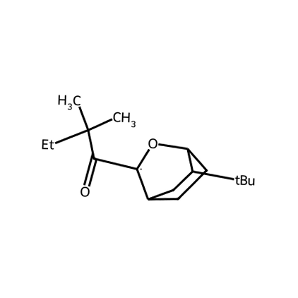 [CH2]CC(C)(C)C(=O)[C]1OC2CCC1CC2C(C)(C)C